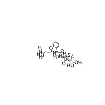 CC1(C)S[C@@H]2[C@H](NC(=O)[C@H](NC(=O)CCc3cnn[nH]3)c3ccccc3)C(=O)N2[C@H]1C(O)O